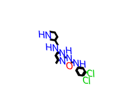 Cc1cc(NCC2CCCNC2)nc(NC(=O)Nc2ccc(Cl)c(Cl)c2)n1